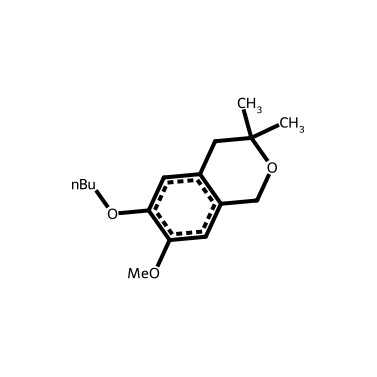 CCCCOc1cc2c(cc1OC)COC(C)(C)C2